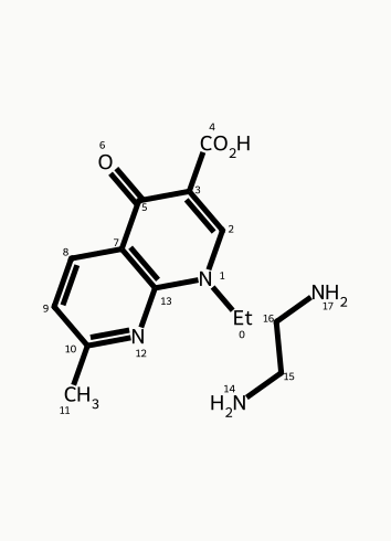 CCn1cc(C(=O)O)c(=O)c2ccc(C)nc21.NCCN